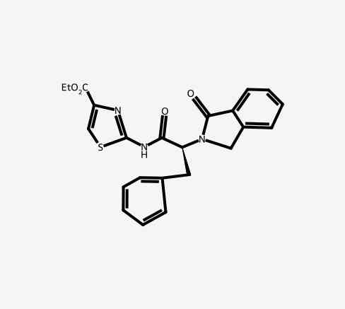 CCOC(=O)c1csc(NC(=O)[C@H](Cc2ccccc2)N2Cc3ccccc3C2=O)n1